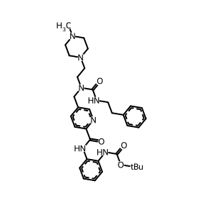 CN1CCN(CCN(Cc2ccc(C(=O)Nc3ccccc3NC(=O)OC(C)(C)C)nc2)C(=O)NCCc2ccccc2)CC1